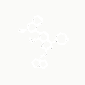 Cc1c(-c2cc(O)cc3ccccc23)ccc2c(N3CCCOCC3)nc(OCC34CCCN3CCC4)nc12